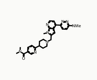 CNc1ccc(-c2ccnc3c2cc(CN2CCC(c4ccc(C(=O)N(C)C)cn4)CC2)n3C)nn1